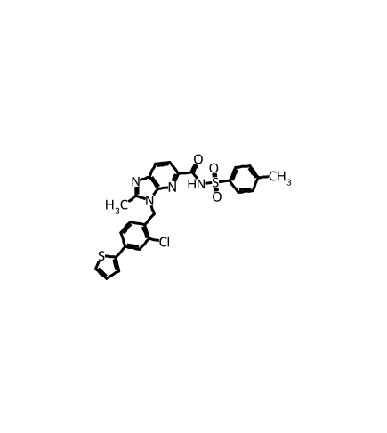 Cc1ccc(S(=O)(=O)NC(=O)c2ccc3nc(C)n(Cc4ccc(-c5cccs5)cc4Cl)c3n2)cc1